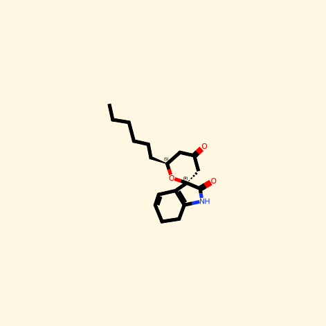 CCCCCC[C@H]1CC(=O)C[C@]2(O1)C(=O)NC1=C2C=CCC1